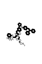 C=C(/C=c1\s/c(=C/c2ccc3c(c2)C2CCCC2N3c2ccc(C=C(c3ccccc3)c3ccccc3)cc2)c(=O)n1CC(=O)OCC)Sc1ccccc1C